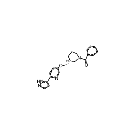 O=C(c1ccccc1)N1CCC[C@@H](COc2ccc(-c3ccn[nH]3)nc2)C1